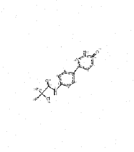 O=C(Nc1ccc(-c2ccc(=O)[nH]n2)cc1)C(F)(F)Cl